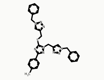 Cc1ccc(-c2nc(SCc3cn(Cc4ccccc4)nn3)n(Cc3cn(Cc4ccccc4)nn3)n2)cc1